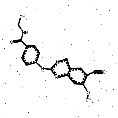 C#Cc1cc2cnc(Nc3ccc(C(=O)NCC)cc3)nc2cc1OC